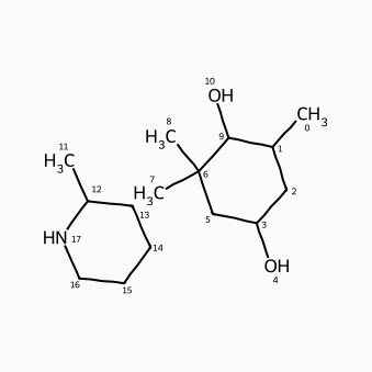 CC1CC(O)CC(C)(C)C1O.CC1CCCCN1